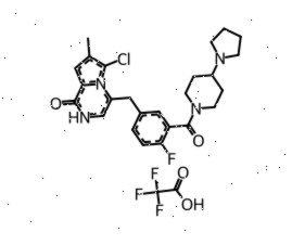 Cc1cc2c(=O)[nH]cc(Cc3ccc(F)c(C(=O)N4CCC(N5CCCC5)CC4)c3)n2c1Cl.O=C(O)C(F)(F)F